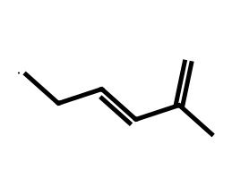 [CH2]C/C=C/C(=C)C